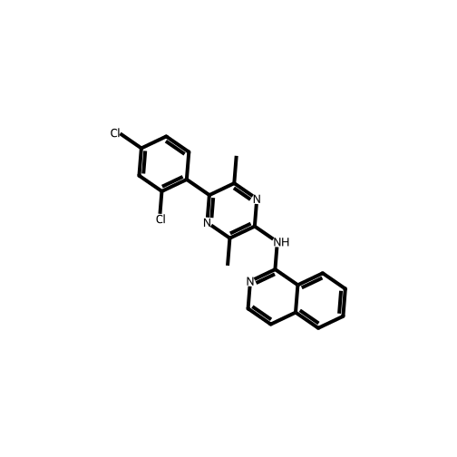 Cc1nc(-c2ccc(Cl)cc2Cl)c(C)nc1Nc1nccc2ccccc12